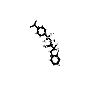 CC(C)c1ccc(S(=O)(=O)NC(=O)C2(C)Cc3ccccc3O2)cc1